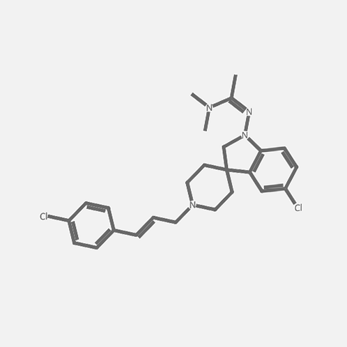 CC(=NN1CC2(CCN(C/C=C/c3ccc(Cl)cc3)CC2)c2cc(Cl)ccc21)N(C)C